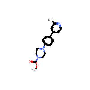 CC(C)(C)OC(=O)N1CCN(c2ccc(-c3ccnc(C#N)c3)cc2)CC1